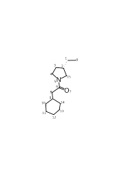 CC[C@H]1CCN(C(=O)CC2CCCCC2)C1